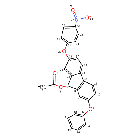 CC(=O)OC1c2cc(Oc3ccccc3)ccc2-c2ccc(Oc3ccc([N+](=O)[O-])cc3)cc21